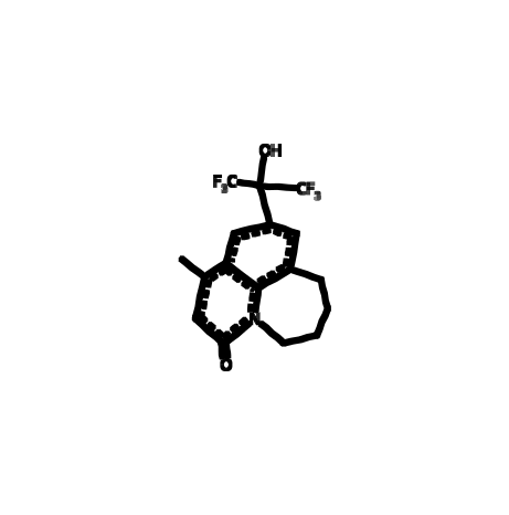 Cc1cc(=O)n2c3c(cc(C(O)(C(F)(F)F)C(F)(F)F)cc13)CCCC2